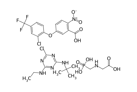 CCNc1nc(Cl)nc(NC(C)(C)C)n1.O=C(O)CNCP(=O)(O)O.O=C(O)c1cc(Oc2ccc(C(F)(F)F)cc2Cl)ccc1[N+](=O)[O-]